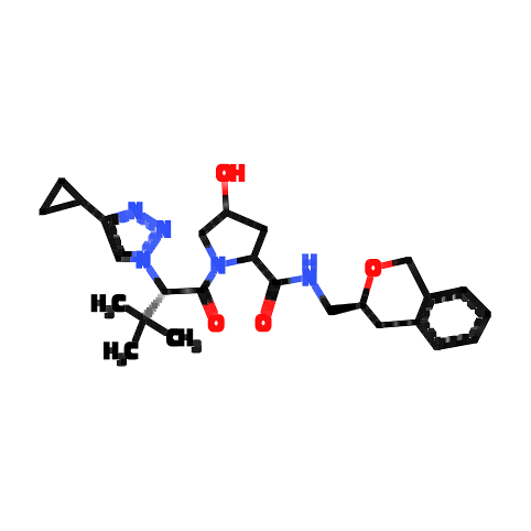 CC(C)(C)[C@@H](C(=O)N1CC(O)CC1C(=O)NC[C@@H]1Cc2ccccc2CO1)n1cc(C2CC2)nn1